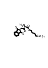 NN(C(=O)CN1C(=O)c2ccccc2C1=O)C(=O)OCCCCC(=O)O